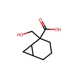 O=C(O)C1(CO)CCCC2CC21